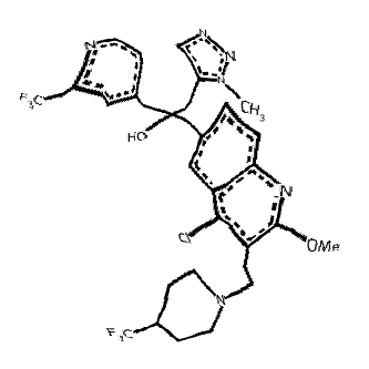 COc1nc2ccc(C(O)(c3ccnc(C(F)(F)F)c3)c3cnnn3C)cc2c(Cl)c1CN1CCC(C(F)(F)F)CC1